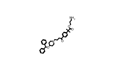 CC(C)(C(=O)OCCCN)c1ccc(C(=O)CCCN2CCC(OC(c3ccccc3)c3ccccc3)CC2)cc1